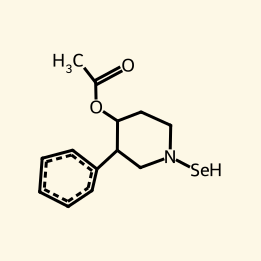 CC(=O)OC1CCN([SeH])CC1c1ccccc1